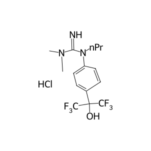 CCCN(C(=N)N(C)C)c1ccc(C(O)(C(F)(F)F)C(F)(F)F)cc1.Cl